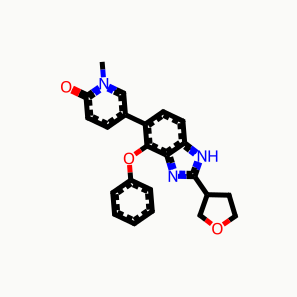 Cn1cc(-c2ccc3[nH]c(C4CCOC4)nc3c2Oc2ccccc2)ccc1=O